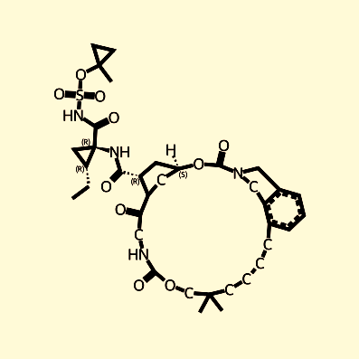 CC[C@@H]1C[C@]1(NC(=O)[C@@H]1C[C@@H]2CC1C(=O)CNC(=O)OCC(C)(C)CCCCc1cccc3c1CN(C3)C(=O)O2)C(=O)NS(=O)(=O)OC1(C)CC1